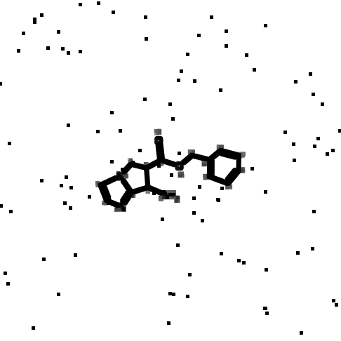 NC1c2nccn2CC1C(=O)OCc1ccccc1